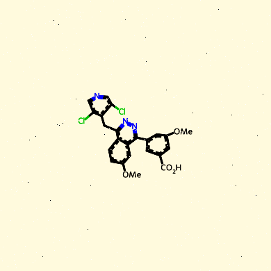 COc1cc(C(=O)O)cc(-c2nnc(Cc3c(Cl)cncc3Cl)c3ccc(OC)cc23)c1